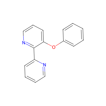 c1ccc(Oc2cccnc2-c2ccccn2)cc1